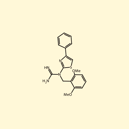 COc1cccc(OC)c1CN(C(=N)N)c1nc(-c2ccccc2)cs1